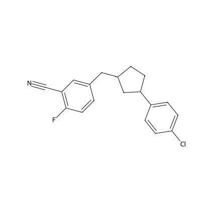 N#Cc1cc(C[C]2CCC(c3ccc(Cl)cc3)C2)ccc1F